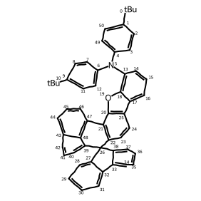 CC(C)(C)c1ccc(N(c2ccc(C(C)(C)C)cc2)c2cccc3c2oc2c4c(ccc23)C2(c3ccccc3-c3ccccc32)c2cccc3cccc-4c23)cc1